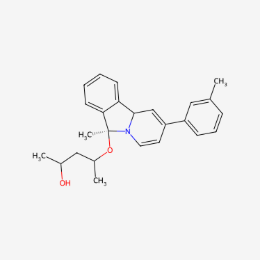 Cc1cccc(C2=CC3c4ccccc4[C@](C)(OC(C)CC(C)O)N3C=C2)c1